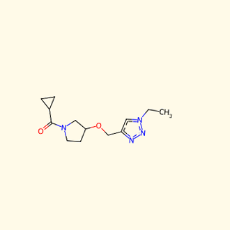 CCn1cc(COC2CCN(C(=O)C3CC3)C2)nn1